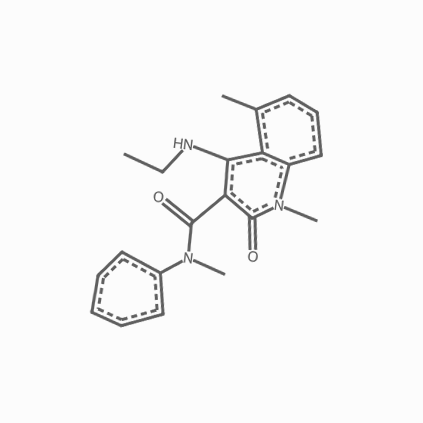 CCNc1c(C(=O)N(C)c2ccccc2)c(=O)n(C)c2cccc(C)c12